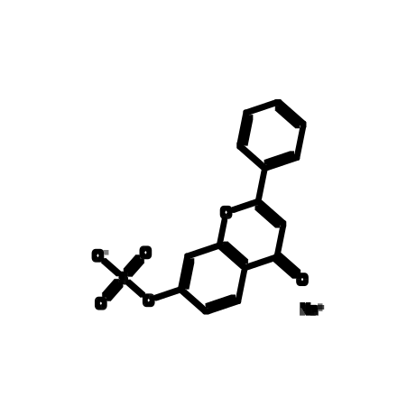 O=c1cc(-c2ccccc2)oc2cc(OS(=O)(=O)[O-])ccc12.[Na+]